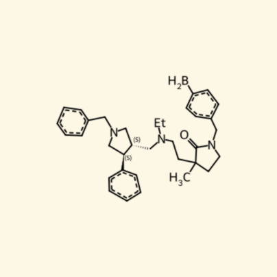 Bc1ccc(CN2CCC(C)(CCN(CC)C[C@H]3CN(Cc4ccccc4)C[C@@H]3c3ccccc3)C2=O)cc1